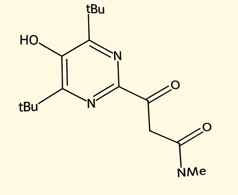 CNC(=O)CC(=O)c1nc(C(C)(C)C)c(O)c(C(C)(C)C)n1